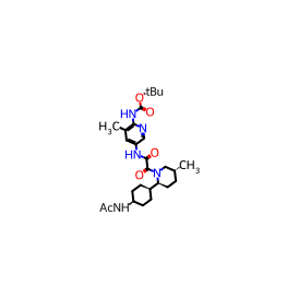 CC(=O)N[C@H]1CC[C@@H]([C@@H]2CC[C@@H](C)CN2C(=O)C(=O)Nc2cnc(NC(=O)OC(C)(C)C)c(C)c2)CC1